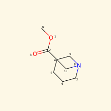 COC(=O)C12CCCN(C1)C2